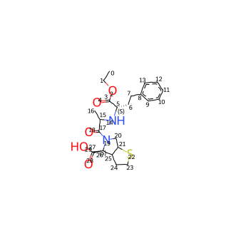 CCOC(=O)[C@H](CCc1ccccc1)NC(C)C(=O)N1CC2SCCC2[C@H]1C(=O)O